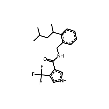 CC(C)CC(C)c1ccccc1CNC(=O)c1c[nH]cc1C(F)(F)F